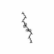 CC(C)=CCCC(C)=CCCC(C)=CCOC(=O)CCCC(=O)OCC=C(C)CCC=C(C)CCC=C(C)C